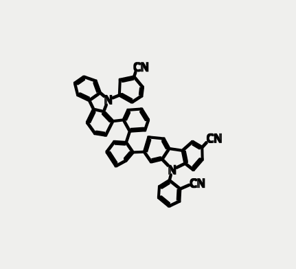 N#Cc1cccc(-n2c3ccccc3c3cccc(-c4ccccc4-c4ccccc4-c4ccc5c6cc(C#N)ccc6n(-c6ccccc6C#N)c5c4)c32)c1